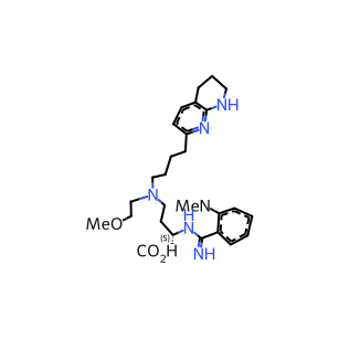 CNc1ccccc1C(=N)N[C@@H](CCN(CCCCc1ccc2c(n1)NCCC2)CCOC)C(=O)O